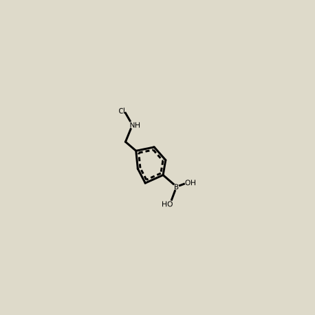 OB(O)c1ccc(CNCl)cc1